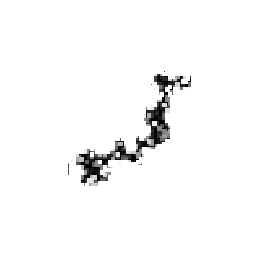 Oc1c(-c2ccccc2)cc(-c2ccc3c(c2)c2ccccc2n3-c2ccc3oc4ccc(-c5cccc(-c6ccc7oc8ccc(-n9c%10ccccc%10c%10cc(-c%11cc(-c%12ccccc%12)c(O)c(-c%12ccccc%12)c%11)ccc%109)cc8c7c6)c5)cc4c3c2)cc1-c1ccccc1